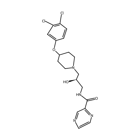 O=C(NC[C@@H](O)CN1CCC(Oc2ccc(Cl)c(Cl)c2)CC1)c1cnccn1